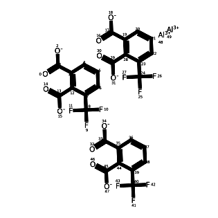 O=C([O-])c1cccc(C(F)(F)F)c1C(=O)[O-].O=C([O-])c1cccc(C(F)(F)F)c1C(=O)[O-].O=C([O-])c1cccc(C(F)(F)F)c1C(=O)[O-].[Al+3].[Al+3]